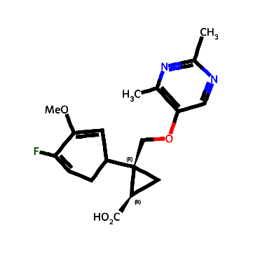 COC1=CC([C@]2(COc3cnc(C)nc3C)C[C@H]2C(=O)O)CC=C1F